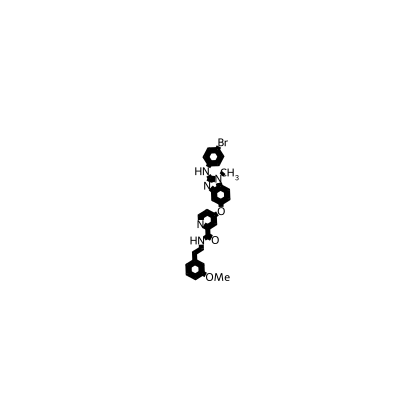 COc1cccc(CCNC(=O)c2cc(Oc3ccc4c(c3)nc(Nc3ccc(Br)cc3)n4C)ccn2)c1